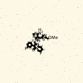 COCc1ncc(-c2nn([C@@H](C)c3nc4ccc(F)cn4c(=O)c3-c3cccc(F)c3)c3ncnc(N)c23)s1